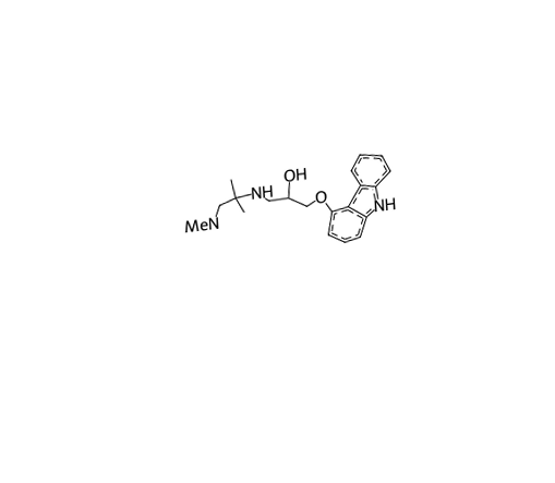 CNCC(C)(C)NCC(O)COc1cccc2[nH]c3ccccc3c12